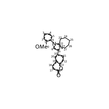 COc1ccccc1-n1cc(-c2ccc3oc(=O)ccc3c2)[n+]2c1CCCCC2